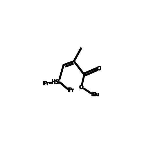 CC(=C[SiH](C(C)C)C(C)C)C(=O)OC(C)(C)C